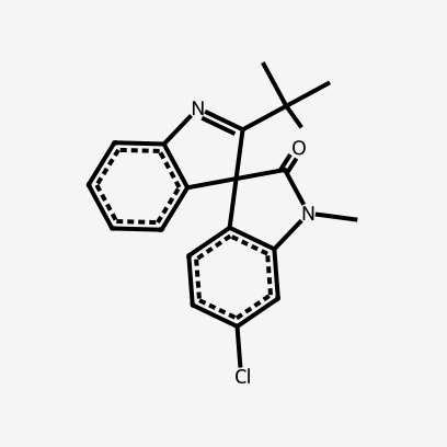 CN1C(=O)C2(C(C(C)(C)C)=Nc3ccccc32)c2ccc(Cl)cc21